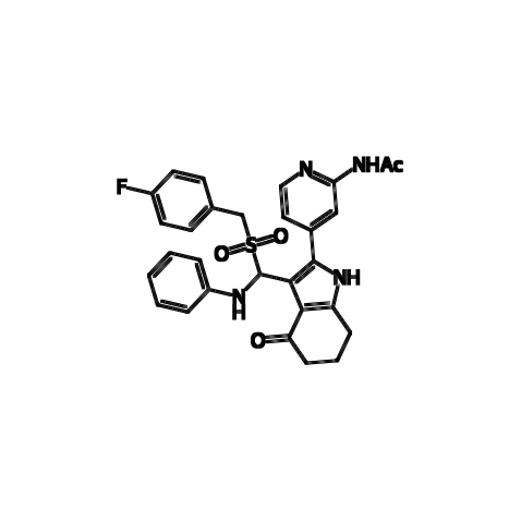 CC(=O)Nc1cc(-c2[nH]c3c(c2C(Nc2ccccc2)S(=O)(=O)Cc2ccc(F)cc2)C(=O)CCC3)ccn1